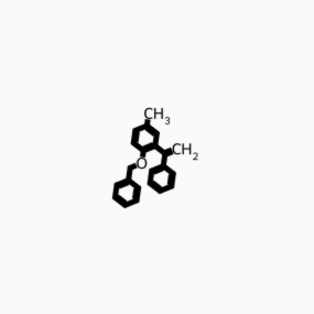 C=C(c1ccccc1)c1cc(C)ccc1OCc1ccccc1